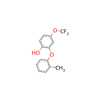 Cc1ccccc1Oc1cc(OC(F)(F)F)ccc1O